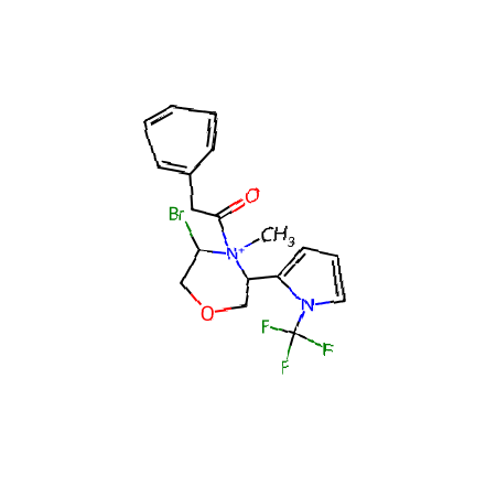 C[N+]1(C(=O)Cc2ccccc2)C(Br)COCC1c1cccn1C(F)(F)F